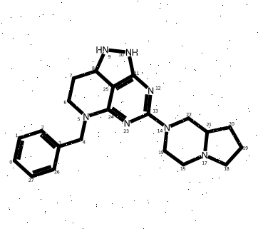 c1ccc(CN2CCC3NNc4nc(N5CCN6CCCC6C5)nc2c43)cc1